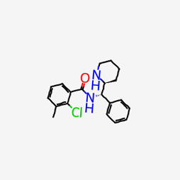 Cc1cccc(C(=O)N[C@@H](c2ccccc2)[C@@H]2CCCCN2)c1Cl